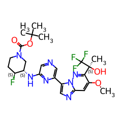 COc1cc2ncc(-c3cncc(N[C@H]4CN(C(=O)OC(C)(C)C)CC[C@@H]4F)n3)n2nc1[C@](C)(O)C(F)(F)F